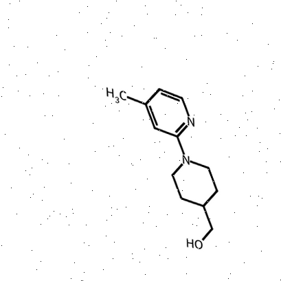 Cc1ccnc(N2CCC(CO)CC2)c1